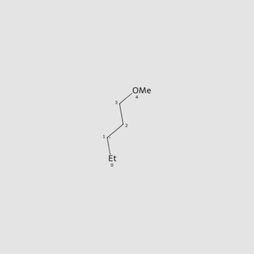 CC[CH]CCOC